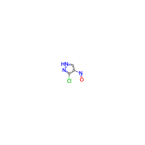 O=Nc1c[nH]nc1Cl